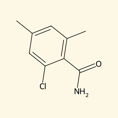 Cc1cc(C)c(C(N)=O)c(Cl)c1